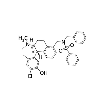 CN1CCc2cc(Cl)c(O)cc2[C@H]2c3cccc(CN(Cc4ccccc4)S(=O)(=O)c4ccccc4)c3CC[C@@H]21